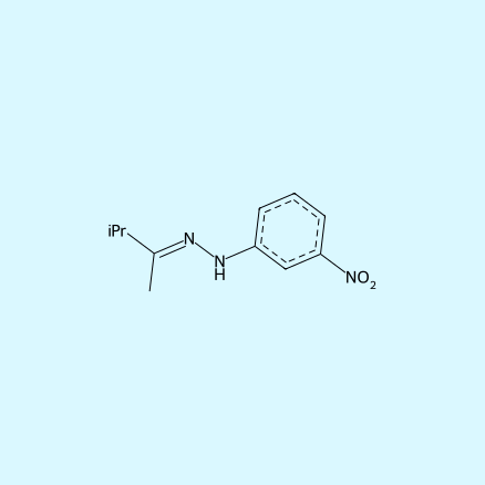 CC(=NNc1cccc([N+](=O)[O-])c1)C(C)C